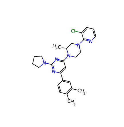 Cc1ccc(-c2cc(N3CCN(c4ncccc4Cl)C[C@H]3C)nc(N3CCCC3)n2)cc1C